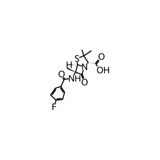 CC1(C)S[C@H]2N(C(=O)[C@]2(C)NC(=O)c2ccc(F)cc2)[C@H]1C(=O)O